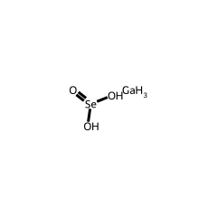 O=[Se](O)O.[GaH3]